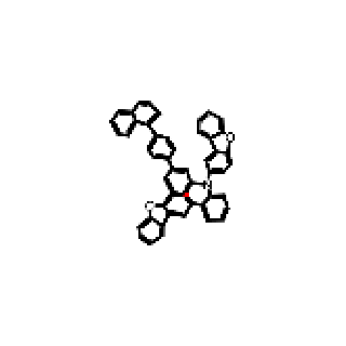 c1cc(-c2ccc(-c3cccc4ccccc34)cc2)cc(N(c2ccc3oc4ccccc4c3c2)c2ccccc2-c2ccc3oc4ccccc4c3c2)c1